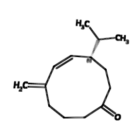 C=C1C=C[C@H](C(C)C)CCC(=O)CCC1